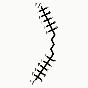 FC(F)(F)C(F)(F)C(F)(F)C(F)(F)C(F)(F)C(F)(F)CCCCCC(F)(F)C(F)(F)C(F)(F)C(F)(F)C(F)(F)C(F)(F)F